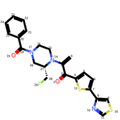 C=C(C(=O)c1ccc(-c2cscn2)s1)N1CCN(C(=O)c2ccccc2)C[C@H]1CF